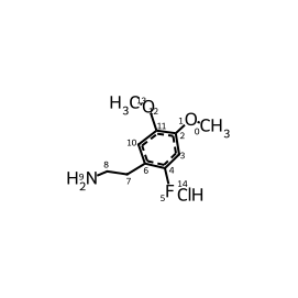 COc1cc(F)c(CCN)cc1OC.Cl